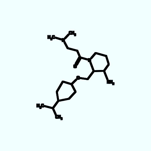 CC(C)C1CCC(OCC2C(N)CCCN2C(=O)CCN(C)C)CC1